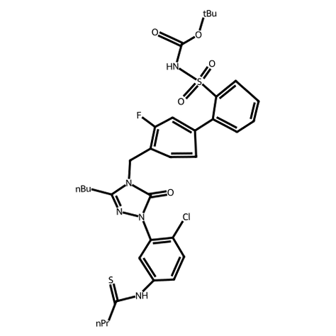 CCCCc1nn(-c2cc(NC(=S)CCC)ccc2Cl)c(=O)n1Cc1ccc(-c2ccccc2S(=O)(=O)NC(=O)OC(C)(C)C)cc1F